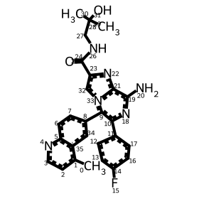 Cc1ccnc2ccc(-c3c(-c4ccc(F)cc4)nc(N)c4nc(C(=O)NCC(C)(C)O)cn34)cc12